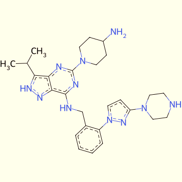 CC(C)c1[nH]nc2c(NCc3ccccc3-n3ccc(N4CCNCC4)n3)nc(N3CCC(N)CC3)nc12